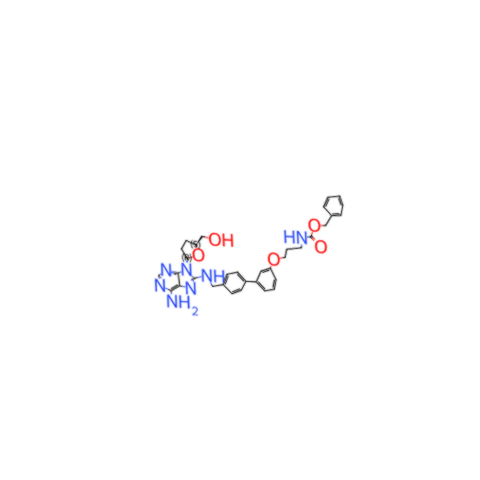 Nc1ncnc2c1nc(NCc1ccc(-c3cccc(OCCCNC(=O)OCc4ccccc4)c3)cc1)n2[C@H]1CC[C@@H](CO)O1